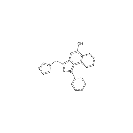 Oc1cc2c(Cn3ccnc3)nn(-c3ccccc3)c2c2ccccc12